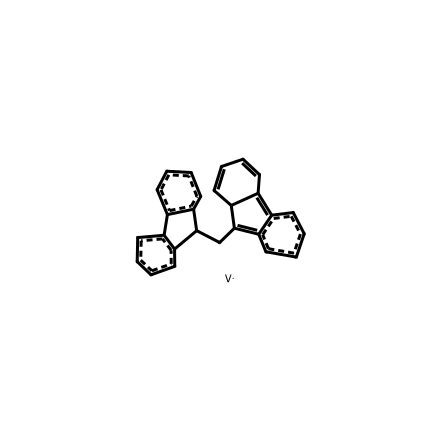 C1=CC2=c3ccccc3=C(CC3c4ccccc4-c4ccccc43)C2C=C1.[V]